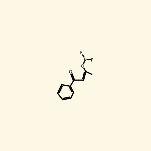 C/C(=C/C(=O)c1ccccc1)OB(F)F